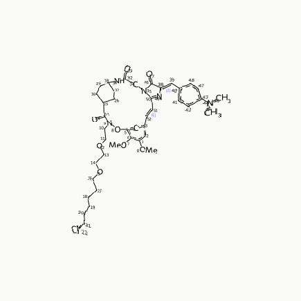 COc1cc2cc(c1OC)ON(CCOCCOCCCCCCCl)C(=O)C1CCC(CC1)NC(=O)CN1C(=O)/C(=C/c3ccc(N(C)C)cc3)N=C1/C=C/2